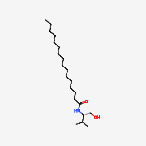 CCCCCCCCCCCCCCCC(=O)N[C@H](CO)C(C)C